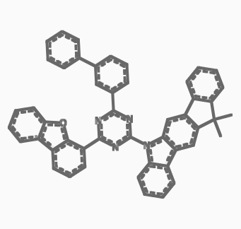 CC1(C)c2ccccc2-c2cc3c(cc21)c1ccccc1n3-c1nc(-c2cccc(-c3ccccc3)c2)nc(-c2cccc3c2oc2ccccc23)n1